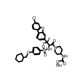 CC(C)(C)OC(=O)NC1CCN(C(=O)C(NS(=O)(=O)c2ccc(OCC3CCCCC3)cc2)C(F)(F)c2ccc3c(c2)oc2cc(Cl)ccc23)CC1